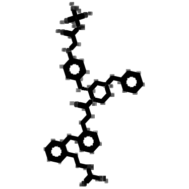 CC(=O)NCCc1ccccc1Cc1ccccc1CCC(=O)N1CCN(Cc2ccccc2)C[C@H]1Cc1ccc(OCC(=O)NS(C)(=O)=O)cc1